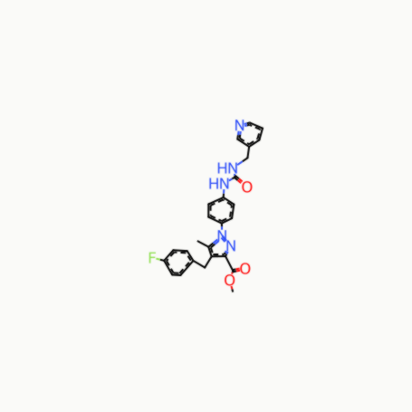 COC(=O)c1nn(-c2ccc(NC(=O)NCc3cccnc3)cc2)c(C)c1Cc1ccc(F)cc1